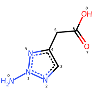 Nn1ncc(CC(=O)O)n1